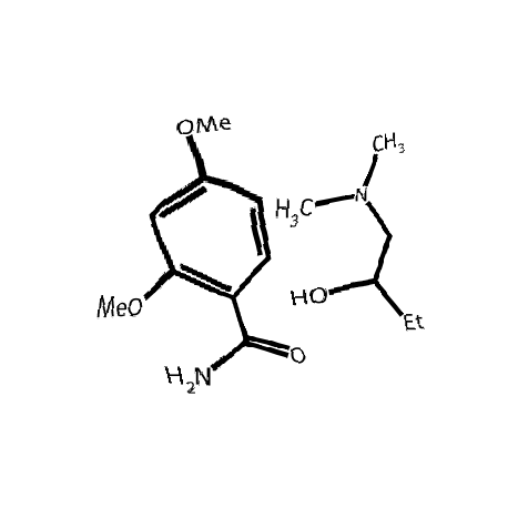 CCC(O)CN(C)C.COc1ccc(C(N)=O)c(OC)c1